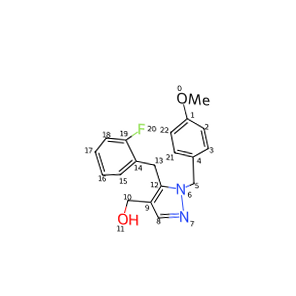 COc1ccc(Cn2ncc(CO)c2Cc2ccccc2F)cc1